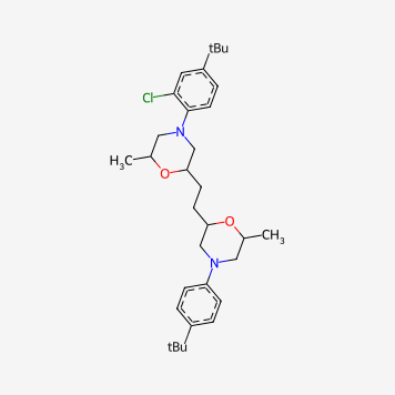 CC1CN(c2ccc(C(C)(C)C)cc2)CC(CCC2CN(c3ccc(C(C)(C)C)cc3Cl)CC(C)O2)O1